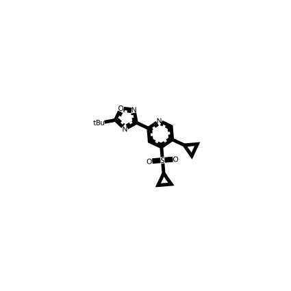 CC(C)(C)c1nc(-c2cc(S(=O)(=O)C3CC3)c(C3CC3)cn2)no1